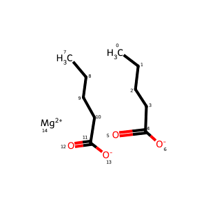 CCCCC(=O)[O-].CCCCC(=O)[O-].[Mg+2]